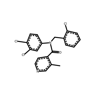 Cc1cnccc1C(=O)N(Cc1ccccc1Cl)c1ccc(Cl)c(Cl)c1